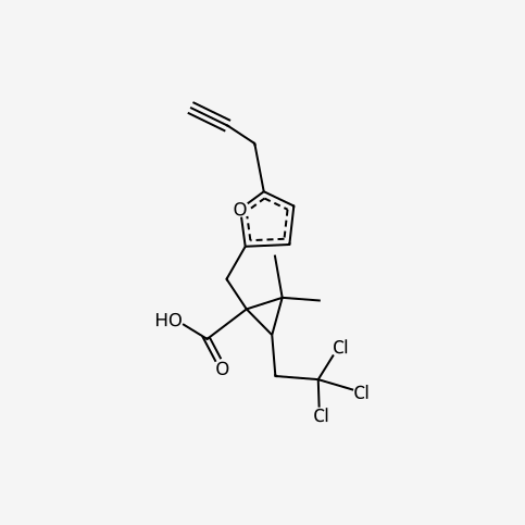 C#CCc1ccc(CC2(C(=O)O)C(CC(Cl)(Cl)Cl)C2(C)C)o1